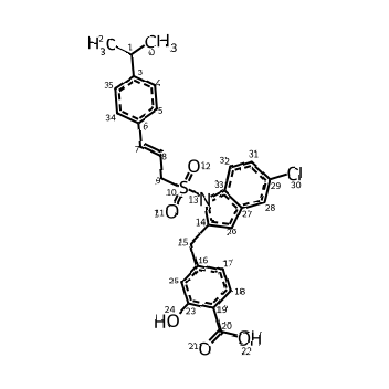 CC(C)c1ccc(C=CCS(=O)(=O)n2c(Cc3ccc(C(=O)O)c(O)c3)cc3cc(Cl)ccc32)cc1